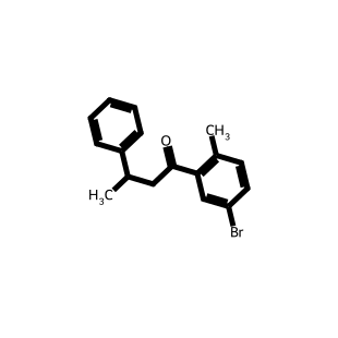 Cc1ccc(Br)cc1C(=O)CC(C)c1ccccc1